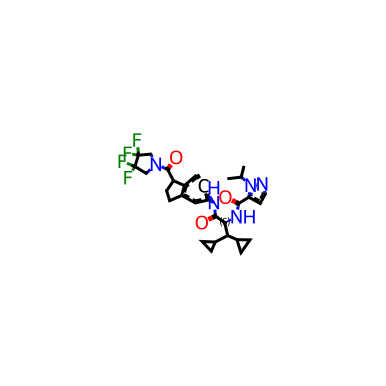 CC(C)n1nccc1C(=O)N[C@H](C(=O)Nc1ccc2c(c1)CCC2C(=O)N1CC(F)(F)C(F)(F)C1)C(C1CC1)C1CC1